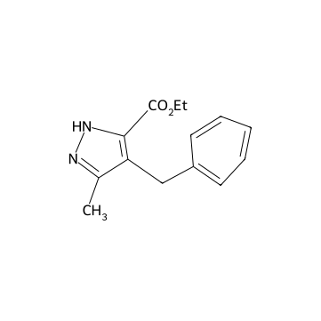 CCOC(=O)c1[nH]nc(C)c1Cc1ccccc1